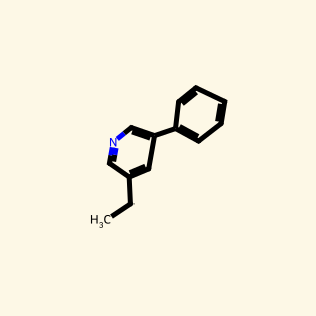 C[CH]c1cncc(-c2ccccc2)c1